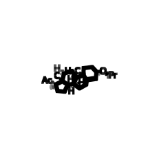 CC(=O)[C@H]1CC[C@H]2[C@@H]3CCC4=C[C@H](OC(C)C)CC[C@]4(C)[C@H]3CC[C@]12C